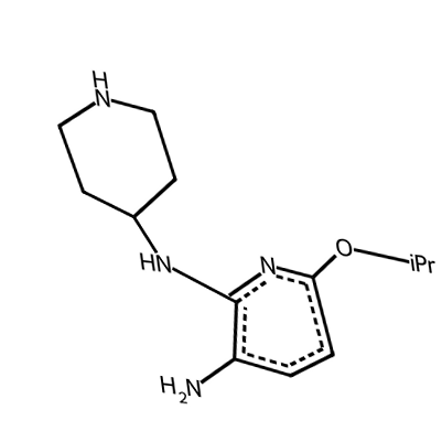 CC(C)Oc1ccc(N)c(NC2CCNCC2)n1